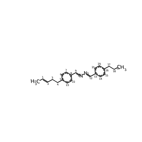 CC=CCCc1ccc(C=NN=Cc2ccc(CCC)cc2)cc1